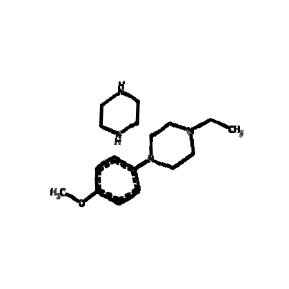 C1CNCCN1.CCN1CCN(c2ccc(OC)cc2)CC1